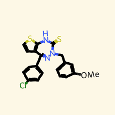 COc1cccc(CN2N=C(c3ccc(Cl)cc3)c3ccsc3NC2=S)c1